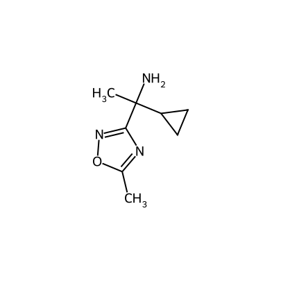 Cc1nc(C(C)(N)C2CC2)no1